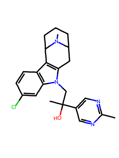 Cc1ncc(C(C)(O)Cn2c3c(c4ccc(Cl)cc42)C2CCCC(C3)N2C)cn1